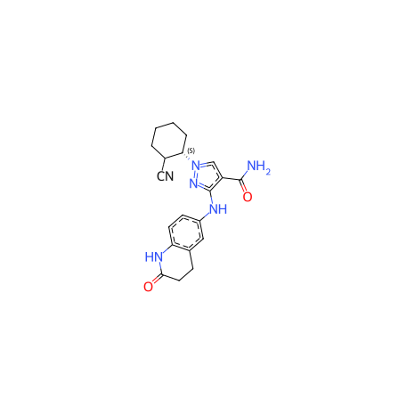 N#CC1CCCC[C@@H]1n1cc(C(N)=O)c(Nc2ccc3c(c2)CCC(=O)N3)n1